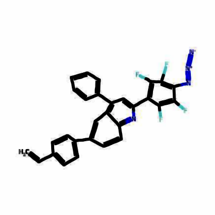 C=Cc1ccc(-c2ccc3nc(-c4c(F)c(F)c(N=[N+]=[N-])c(F)c4F)cc(-c4ccccc4)c3c2)cc1